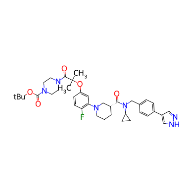 CC(C)(C)OC(=O)N1CCN(C(=O)C(C)(C)Oc2ccc(F)c(N3CCC[C@@H](C(=O)N(Cc4ccc(-c5cn[nH]c5)cc4)C4CC4)C3)c2)CC1